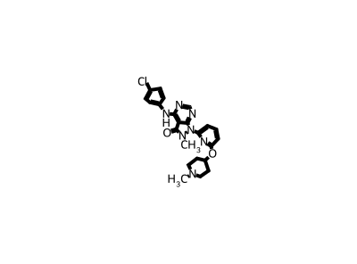 CN1CCC(Oc2cccc(-n3c4ncnc(Nc5ccc(Cl)cc5)c4c(=O)n3C)n2)CC1